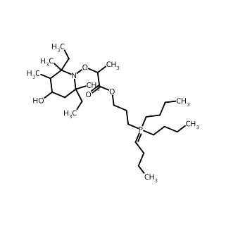 CCCC=P(CCCC)(CCCC)CCCOC(=O)C(C)ON1C(C)(CC)CC(O)C(C)C1(C)CC